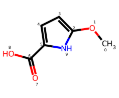 COc1ccc(C(=O)O)[nH]1